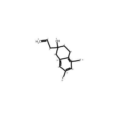 C=CCC1(O)CCc2c(F)cc(F)cc2C1